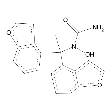 CC(c1cccc2occc12)(c1cccc2occc12)N(O)C(N)=O